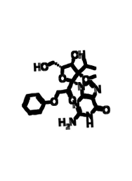 CO[C@]1(C(C)C)[C@H](O)[C@@H](CO)O[C@@]1(C(=O)COc1ccccc1)n1cnc2c(=O)[nH]c(N)nc21